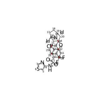 O=S(=O)(Nc1cscn1)c1ccc(OC2C[C@@H]3CC[C@@H](C2)N3Cc2cccc(C(F)F)c2)c(Cl)c1